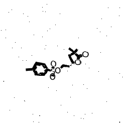 Cc1ccc(S(=O)(=O)OCC[C@@H]2CC(C)(C)C(=O)O2)cc1